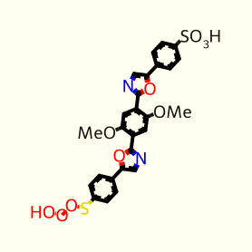 COc1cc(-c2ncc(-c3ccc(S(=O)(=O)O)cc3)o2)c(OC)cc1-c1ncc(-c2ccc(SOOO)cc2)o1